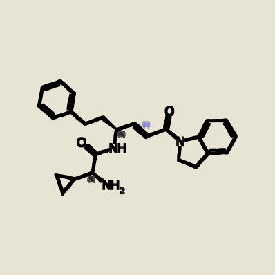 N[C@H](C(=O)N[C@H](/C=C/C(=O)N1CCc2ccccc21)CCc1ccccc1)C1CC1